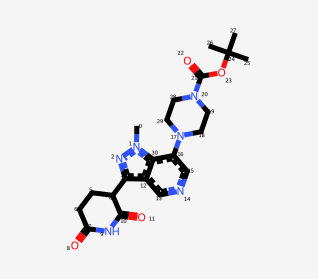 Cn1nc(C2CCC(=O)NC2=O)c2cncc(N3CCN(C(=O)OC(C)(C)C)CC3)c21